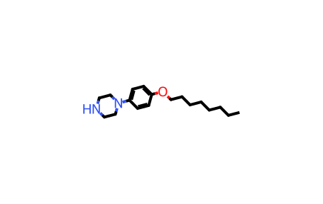 CCCCCCCCOc1ccc(N2CCNCC2)cc1